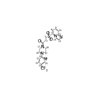 O=C(CCS(=O)(=O)c1cccc2nccn12)N1CCN(c2ccc(C(F)(F)F)cn2)CC1